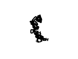 COc1cc(CNC(=O)c2ccnc(CC(C)C(=O)Oc3ccccc3)c2)ccc1O